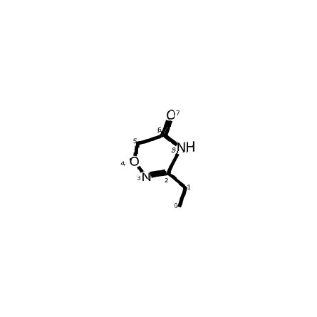 CCC1=NOCC(=O)N1